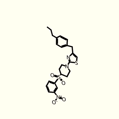 CCCc1ccc(Cc2csc(N3CCC(S(=O)(=O)c4cccc([N+](=O)[O-])c4)CC3)n2)cc1